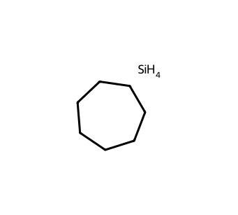 C1CCCCCC1.[SiH4]